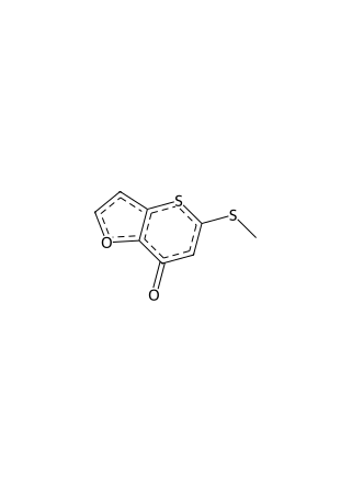 CSc1cc(=O)c2occc2s1